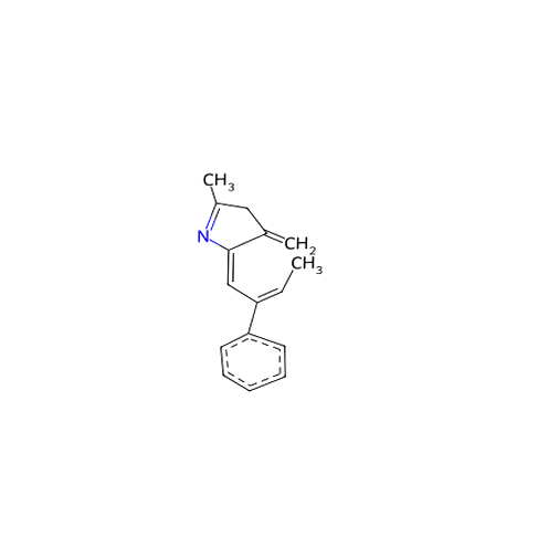 C=C1CC(C)=N/C1=C/C(=C\C)c1ccccc1